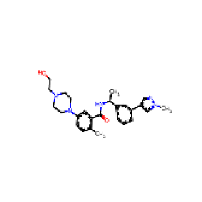 Cc1ccc(N2CCN(CCO)CC2)cc1C(=O)NC(C)c1cccc(-c2cnn(C)c2)c1